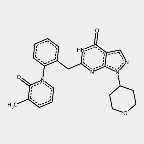 Cc1cccn(-c2ccccc2Cc2nc3c(cnn3C3CCOCC3)c(=O)[nH]2)c1=O